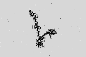 C=Cc1ccc(C(=O)OCCOCCNC(=O)CCCCCN2/C(=C/C=C/C=C/C3=[N+](CC)c4ccccc4C3(C)C)C(C)(C)c3cc(S(=O)(=O)O)ccc32)cc1